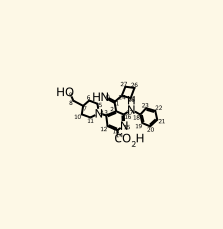 N=C(c1c(N2CCC(CO)CC2)cc(C(=O)O)nc1Nc1ccccc1)C1CCC1